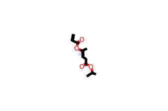 C=CC(=O)O/C(C)=C/CC(=O)OC(C)C